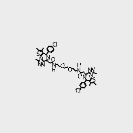 Cc1sc2c(c1C)C(c1ccc(Cl)cc1)=N[C@@H](CC(=O)NCCOCCOCCNC(=O)C[C@@H]1N=C(c3ccc(Cl)cc3)c3c(sc(C)c3C)-n3c(C)nnc31)c1nnc(C)n1-2